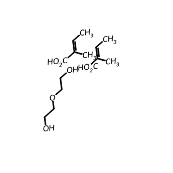 CC=C(C)C(=O)O.CC=C(C)C(=O)O.OCCOCCO